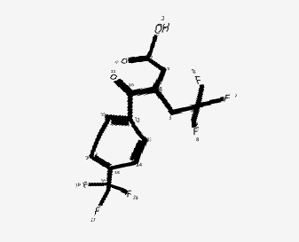 O=C(O)CC(CC(F)(F)F)C(=O)c1ccc(C(F)(F)F)cc1